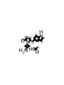 CC(=O)O.N[C@H]1C[C@H](N2C(=O)OC[C@@H]2Cc2ccc3[nH]ccc3c2)C1